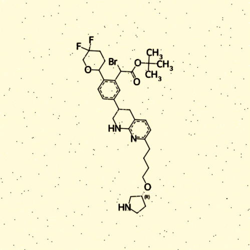 CC(C)(C)OC(=O)C(Br)c1cc(C2CNc3nc(CCCCO[C@@H]4CCNC4)ccc3C2)ccc1C1CCC(F)(F)CO1